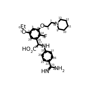 CCOc1cc(OCCN2CCCCC2)c(F)c(C(Nc2ccc(C(=N)N)cc2)C(=O)O)c1